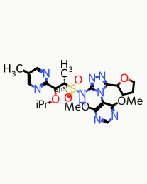 COc1ncnc(OC)c1-n1c(NS(=O)(=O)[C@@H](C)[C@@H](OC(C)C)c2ncc(C)cn2)nnc1C1CCCO1